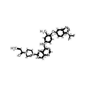 C=CC(=O)N1CCN(c2ncc3ncnc(Nc4ccc(Oc5ccc6c(c5)nnn6C(F)F)c(C)c4)c3n2)CC1